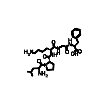 CC(C)C[C@H](N)C(=O)N1CCC[C@H]1C(=O)N[C@@H](CCCCN)C(=O)NCC(=O)N[C@@H](Cc1ccccc1)C(=O)O